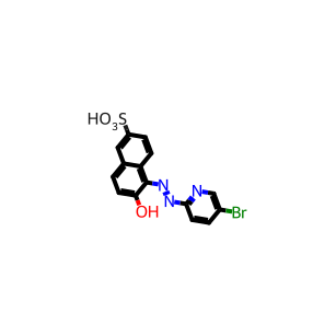 O=S(=O)(O)c1ccc2c(N=Nc3ccc(Br)cn3)c(O)ccc2c1